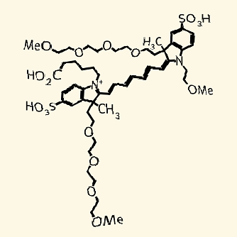 COCCOCCOCCOCCC1(C)C(/C=C/C=C/C=C/C=C2/N(CCOC)c3ccc(S(=O)(=O)O)cc3C2(C)CCOCCOCCOCCOC)=[N+](CCCCCC(=O)O)c2ccc(S(=O)(=O)O)cc21